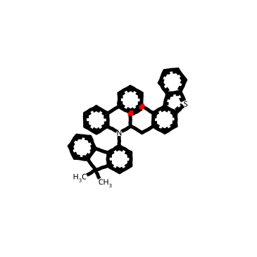 CC1(C)c2ccccc2-c2c(N(c3ccccc3-c3ccccc3)C3C=Cc4c(ccc5sc6ccccc6c45)C3)cccc21